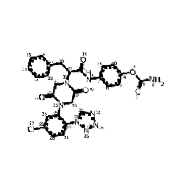 NC(=O)Oc1ccc(NC(=O)C(Cc2ccccc2)N2CC(=O)N(c3cc(Cl)ccc3-n3cnnn3)CC2=O)cc1